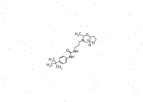 CC1OC2CCO[C@@H]2CN1CCCNC(=O)Nc1ccc(C(C)(C)C)cc1